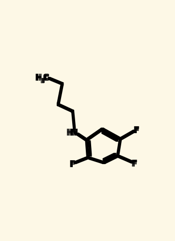 CCCCNc1cc(F)c(F)cc1F